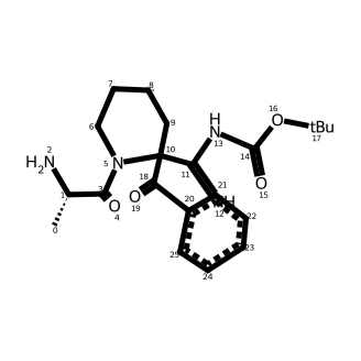 C[C@H](N)C(=O)N1CC[CH]CC1(C(=N)NC(=O)OC(C)(C)C)C(=O)c1ccccc1